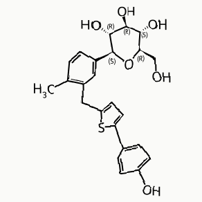 Cc1ccc([C@@H]2O[C@H](CO)[C@@H](O)[C@H](O)[C@H]2O)cc1Cc1ccc(-c2ccc(O)cc2)s1